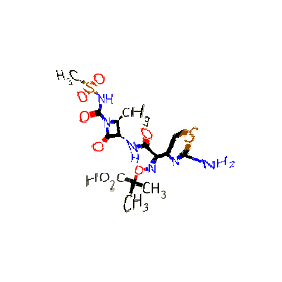 C[C@H]1[C@H](NC(=O)/C(=N\OC(C)(C)C(=O)O)c2csc(N)n2)C(=O)N1C(=O)NS(C)(=O)=O